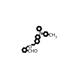 Cc1ccc(N(c2ccccc2)c2ccc3cc(C=COCc4ccccc4C=O)ccc3c2)cc1